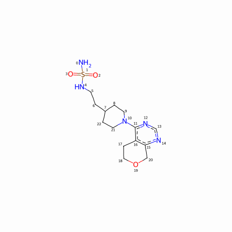 NS(=O)(=O)NCCC1CCN(c2ncnc3c2CCOC3)CC1